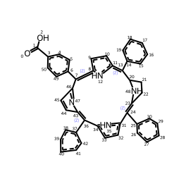 O=C(O)c1ccc(/C2=c3\cc/c([nH]3)=C(\c3ccccc3)C3CC/C(=C(\c4ccccc4)c4ccc([nH]4)/C(c4ccccc4)=C4/C=CC2=N4)N3)cc1